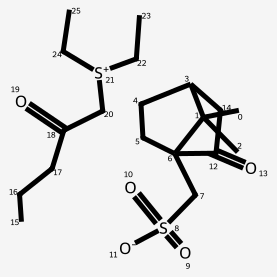 CC1(C)C2CCC1(CS(=O)(=O)[O-])C(=O)C2.CCCC(=O)C[S+](CC)CC